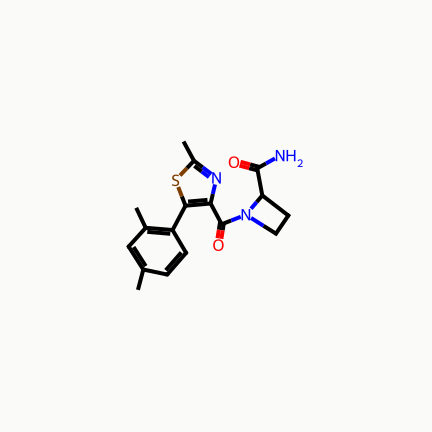 Cc1ccc(-c2sc(C)nc2C(=O)N2CCC2C(N)=O)c(C)c1